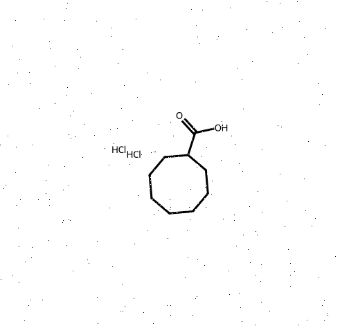 Cl.Cl.O=C(O)C1CCCCCCC1